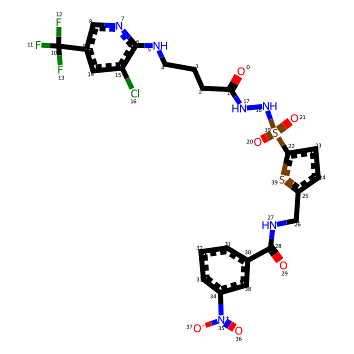 O=C(CCCNc1ncc(C(F)(F)F)cc1Cl)NNS(=O)(=O)c1ccc(CNC(=O)c2cccc([N+](=O)[O-])c2)s1